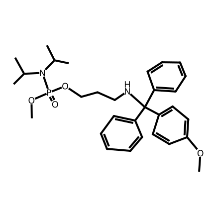 COc1ccc(C(NCCCOP(=O)(OC)N(C(C)C)C(C)C)(c2ccccc2)c2ccccc2)cc1